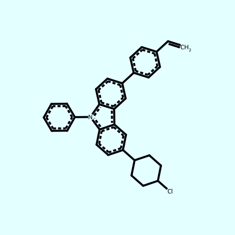 C=Cc1ccc(-c2ccc3c(c2)c2cc(C4CCC(Cl)CC4)ccc2n3-c2ccccc2)cc1